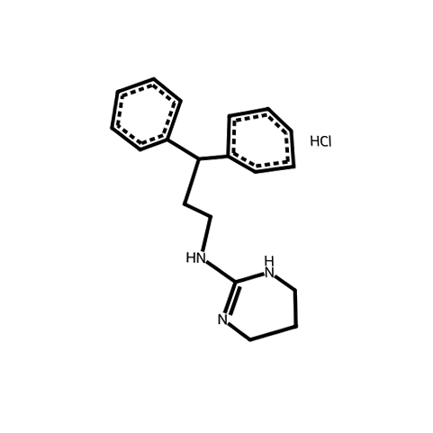 Cl.c1ccc(C(CCNC2=NCCCN2)c2ccccc2)cc1